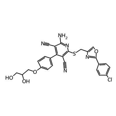 N#Cc1c(N)nc(SCc2coc(-c3ccc(Cl)cc3)n2)c(C#N)c1-c1ccc(OCC(O)CO)cc1